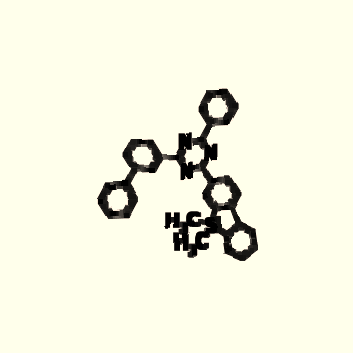 C[Si]1(C)c2ccccc2-c2ccc(-c3nc(-c4ccccc4)nc(-c4cccc(-c5ccccc5)c4)n3)cc21